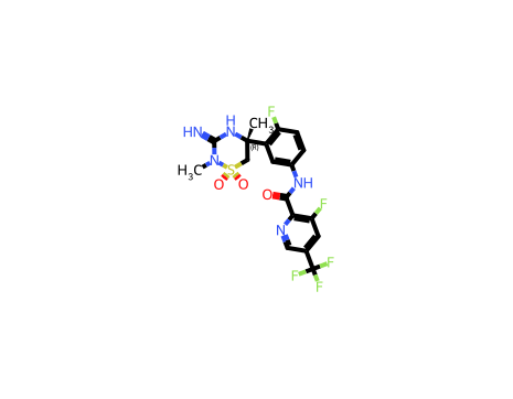 CN1C(=N)N[C@](C)(c2cc(NC(=O)c3ncc(C(F)(F)F)cc3F)ccc2F)CS1(=O)=O